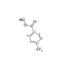 CC(C)(C)OC(=O)c1ccc(C(F)(F)F)cc1